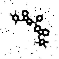 Fc1cc(F)c(Cn2c3ccccc3c3cc(N(c4ccccc4)c4ccc5c(c4)c4ccccc4n5Cc4cc(F)c(F)cc4F)ccc32)cc1F